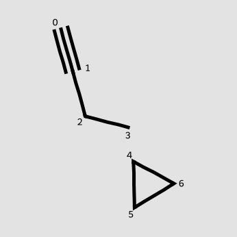 C#CCC.C1CC1